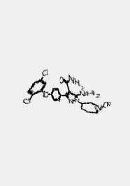 N#CN1CCCC(n2nc(-c3ccc(Oc4cc(Cl)ccc4Cl)cc3)c(C(N)=O)c2N)C1